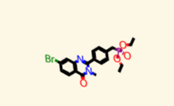 CCOP(=O)(Cc1ccc(-c2nc3cc(Br)ccc3c(=O)n2C)cc1)OCC